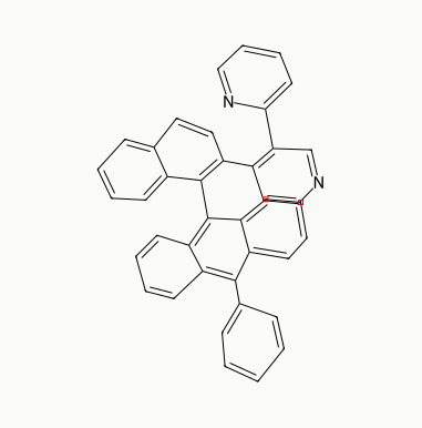 c1ccc(-c2c3ccccc3c(-c3c(-c4ccncc4-c4ccccn4)ccc4ccccc34)c3ccccc23)cc1